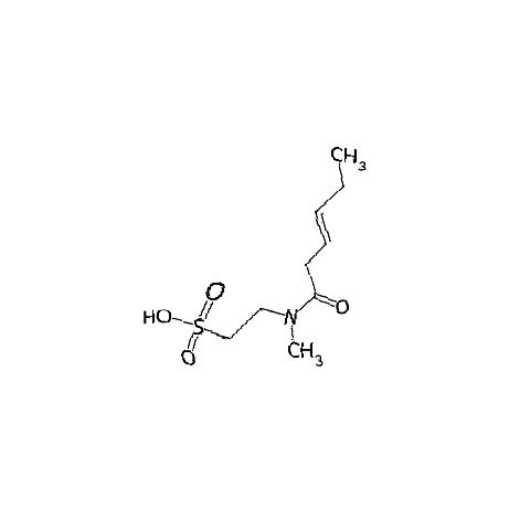 CCC=CCC(=O)N(C)CCS(=O)(=O)O